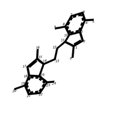 CC1=Cc2c(C)ccc(C)c2C1CCC1C(C)=Cc2c(C)ccc(C)c21